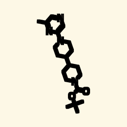 Cc1cncc(N2CCC(C3CCN(C(=O)OC(C)(C)C)CC3)CC2)n1